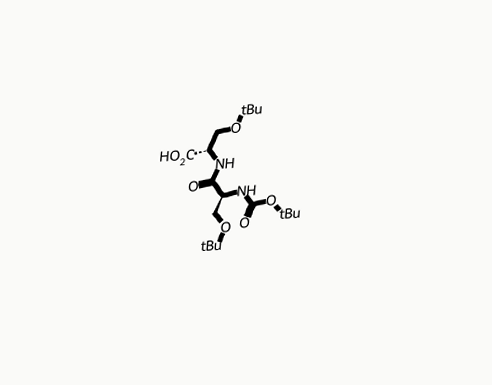 CC(C)(C)OC[C@H](NC(=O)[C@H](COC(C)(C)C)NC(=O)OC(C)(C)C)C(=O)O